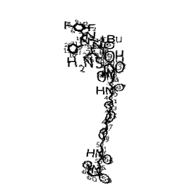 CC(C)(C)C(c1nc(-c2cc(F)ccc2F)cn1Cc1ccccc1)N(CC(CN)CSC1CC(=O)N(CCC(=O)NCCCOCCOCCOCCCNC(=O)CCN2C(=O)C=CC2=O)C1=O)C(=O)CO